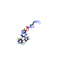 NCCCNC(=O)Oc1cnn2ccc(N3CCC[C@@H]3c3cc(F)cnc3Cl)nc12